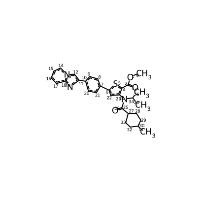 COC(=O)c1sc(-c2ccc(-c3cn4ccccc4n3)cc2)cc1N(C(=O)C1CCC(C)CC1)C(C)C